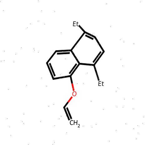 C=COc1cccc2c(CC)ccc(CC)c12